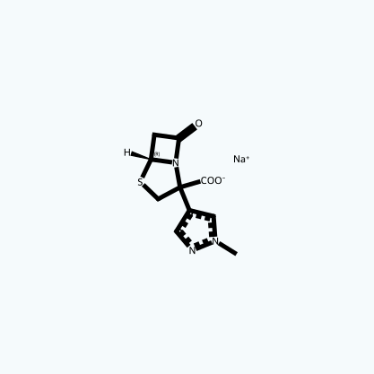 Cn1cc(C2(C(=O)[O-])CS[C@@H]3CC(=O)N32)cn1.[Na+]